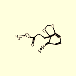 COC(=O)CCC12OCOC1=CC=CC2=[N+]=[N-]